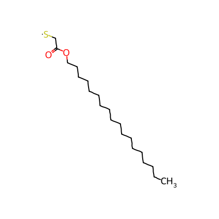 CCCCCCCCCCCCCCCCCCOC(=O)C[S]